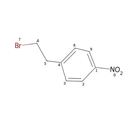 O=[N+]([O-])c1ccc(C[CH]Br)cc1